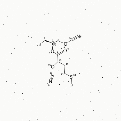 CC[C@@H](COC#N)OC(=O)C(CCSC)OC#N